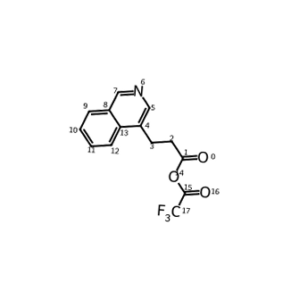 O=C(CCc1cncc2ccccc12)OC(=O)C(F)(F)F